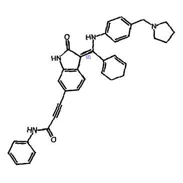 O=C(C#Cc1ccc2c(c1)NC(=O)/C2=C(\Nc1ccc(CN2CCCC2)cc1)C1=CCCC=C1)Nc1ccccc1